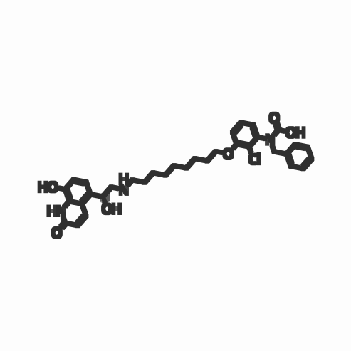 O=C(O)N(Cc1ccccc1)c1cccc(OCCCCCCCCCNC[C@@H](O)c2ccc(O)c3[nH]c(=O)ccc23)c1Cl